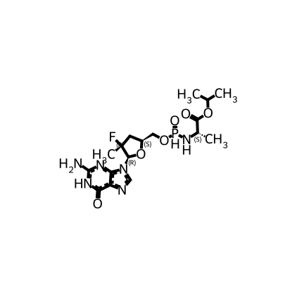 CC(C)OC(=O)[C@H](C)N[PH](=O)OC[C@@H]1C[C@@](C)(F)[C@H](n2cnc3c(=O)[nH]c(N)nc32)O1